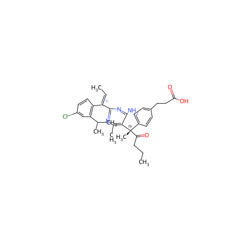 C/C=C(/c1nc(C)c([C@@](C)(C(=O)CCC)c2ccc(CCC(=O)O)cc2)c(N)n1)c1ccc(Cl)cc1C(C)C